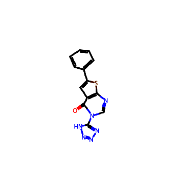 O=c1c2cc(-c3ccccc3)sc2ncn1-c1nnn[nH]1